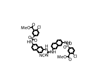 COC(=O)c1cc(S(=O)(=O)Nc2ccc3ccc(NC(=NC#N)Nc4ccc5ccc(NS(=O)(=O)c6ccc(Cl)c(C(=O)OC)c6)cc5c4)cc3c2)ccc1Cl